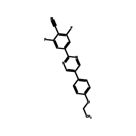 CCOc1ccc(-c2cnc(-c3cc(F)c(C#N)c(F)c3)nc2)cc1